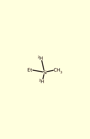 [2H][Si]([2H])(C)CC